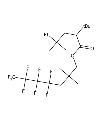 CCC(C)(C)CC(C(=O)OCC(C)(C)CC(F)(F)C(F)(F)C(F)(F)C(F)(F)F)C(C)(C)C